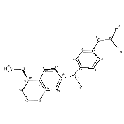 CN(c1ccc(OC(F)F)cc1)c1ccc2c(c1)CCC[C@H]2CN